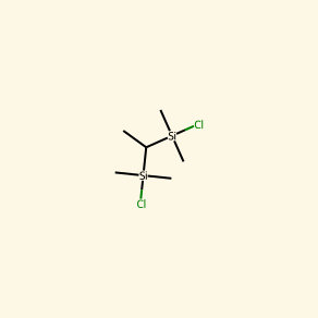 CC([Si](C)(C)Cl)[Si](C)(C)Cl